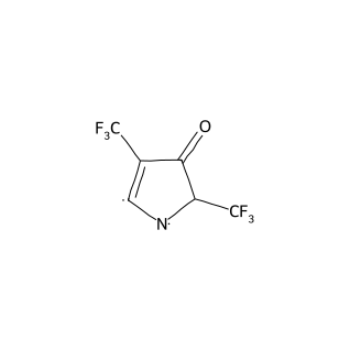 O=C1C(C(F)(F)F)=[C][N]C1C(F)(F)F